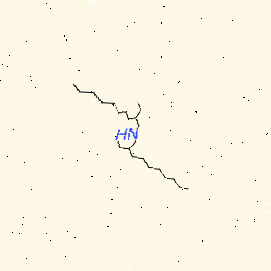 CCCCCCCCC(CC)CNCC(CC)CCCCCCCC